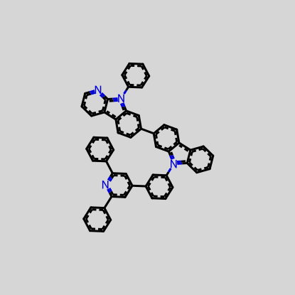 c1ccc(-c2cc(-c3cccc(-n4c5ccccc5c5ccc(-c6ccc7c8cccnc8n(-c8ccccc8)c7c6)cc54)c3)cc(-c3ccccc3)n2)cc1